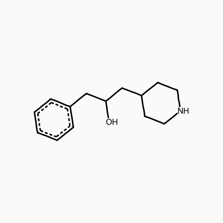 OC(Cc1ccccc1)CC1CCNCC1